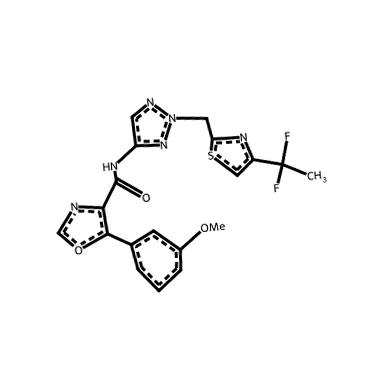 COc1cccc(-c2ocnc2C(=O)Nc2cnn(Cc3nc(C(C)(F)F)cs3)n2)c1